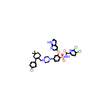 CC1(C)CCC(CN2CCN(c3ccc(S(=O)(=O)NC(=O)c4ccc(Cl)c(Cl)n4)c(Oc4cnc5[nH]ccc5c4)c3)CC2)=C(c2ccc(Cl)cc2)C1